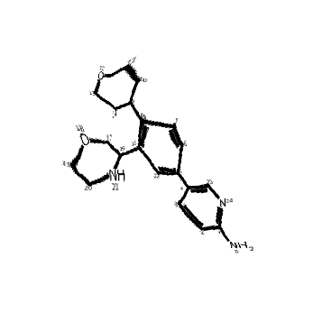 Nc1ccc(-c2ccc(C3CCOCC3)c(C3COCCN3)c2)cn1